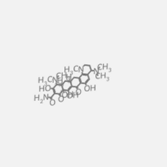 CN1CCC(N(C)C)c2cc(O)c3c(c21)C[C@@H]1C[C@@H]2[C@H](N(C)C)C(O)=C(C(N)=O)C(=O)[C@@]2(O)C(O)=C1C3=O